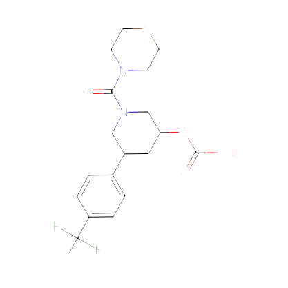 O=C(O)OC1CC(c2ccc(C(F)(F)F)cc2)CN(C(=O)N2CCSCC2)C1